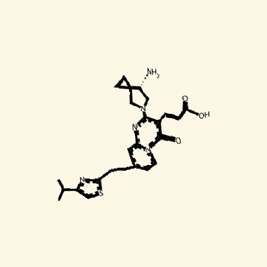 CC(C)c1csc(CCc2ccn3c(=O)c(C=CC(=O)O)c(N4C[C@@H](N)C5(CC5)C4)nc3c2)n1